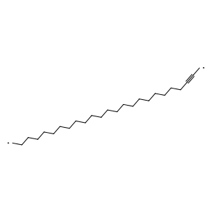 [CH2]C#CCCCCCCCCCCCCCCCCCCCCC[CH2]